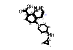 N/C=C\c1c(N2CCC(NC3CC3)CC2)ccc(C(=O)O)c1N